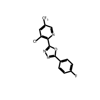 Fc1ccc(-c2nnc(-c3ncc(C(F)(F)F)cc3Cl)o2)cc1